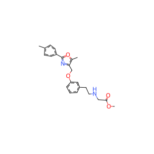 COC(=O)CNCCc1cccc(OCc2nc(-c3ccc(C)cc3)oc2C)c1